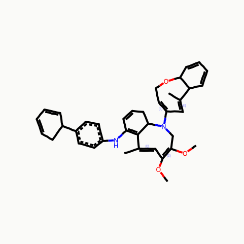 COC1=C(\OC)CN(C2=C/COC3C=CC=CC3\C(C)=C\2)C2CC=CC(Nc3ccc(C4C=CC=CC4)cc3)=C2\C(C)=C\1